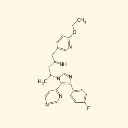 CCOc1ccc(CC(=N)CC(C)n2cnc(-c3ccc(F)cc3)c2-c2ccncn2)cn1